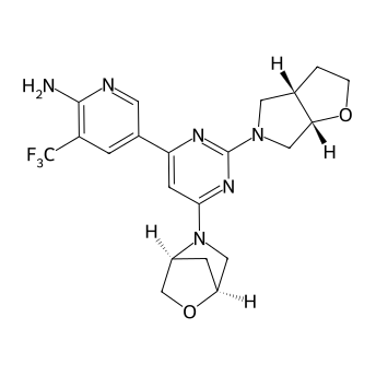 Nc1ncc(-c2cc(N3C[C@@H]4C[C@H]3CO4)nc(N3C[C@@H]4CCO[C@@H]4C3)n2)cc1C(F)(F)F